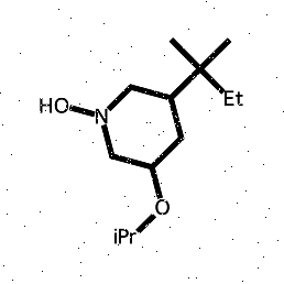 CCC(C)(C)C1CC(OC(C)C)CN(O)C1